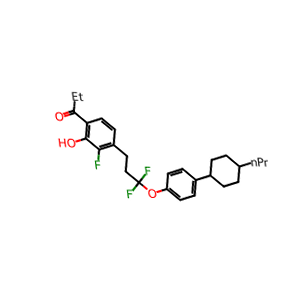 CCCC1CCC(c2ccc(OC(F)(F)CCc3ccc(C(=O)CC)c(O)c3F)cc2)CC1